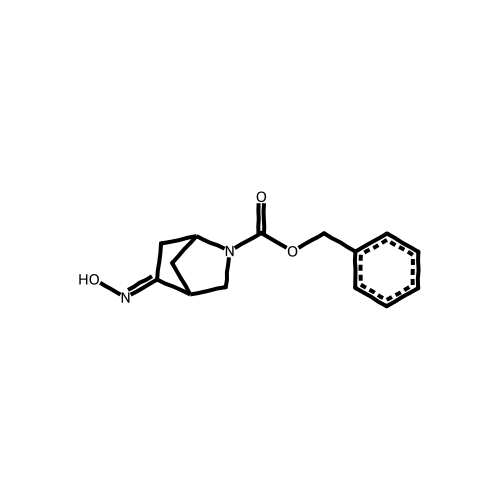 O=C(OCc1ccccc1)N1CC2CC1CC2=NO